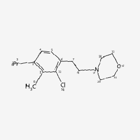 Cc1c(C(C)C)ccc(CCN2CCOCC2)c1Cl